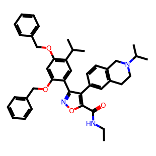 CCNC(=O)c1onc(-c2cc(C(C)C)c(OCc3ccccc3)cc2OCc2ccccc2)c1-c1ccc2c(c1)CCN(C(C)C)C2